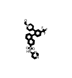 O=CN1CC=C(c2cc(C(F)(F)F)ccc2-c2cccc3cc(S(=O)(=O)Nc4ccncn4)ccc23)CC1